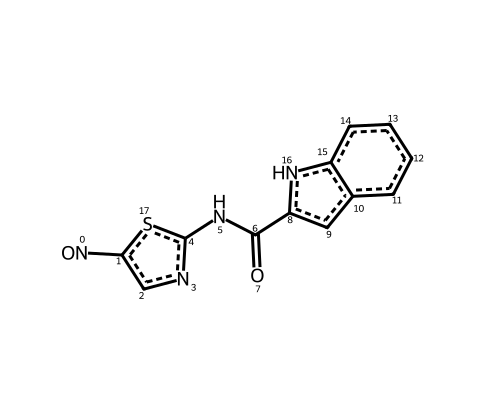 O=Nc1cnc(NC(=O)c2cc3ccccc3[nH]2)s1